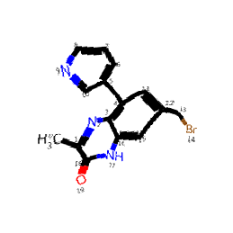 Cc1nc2c(-c3cccnc3)cc(CBr)cc2[nH]c1=O